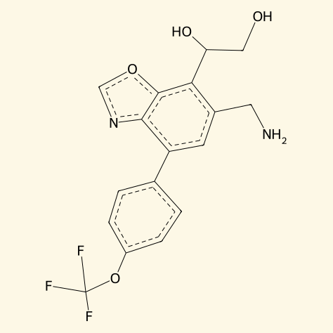 NCc1cc(-c2ccc(OC(F)(F)F)cc2)c2ncoc2c1C(O)CO